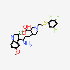 COc1ccc2ncc(Cl)c(C(N)CCC3CCN(CCSc4cc(F)cc(F)c4F)CC3C(=O)O)c2c1